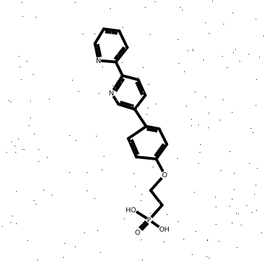 O=P(O)(O)CCOc1ccc(-c2ccc(-c3ccccn3)nc2)cc1